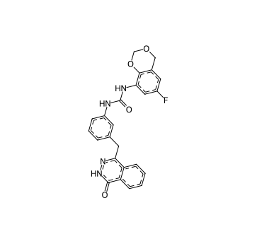 O=C(Nc1cccc(Cc2n[nH]c(=O)c3ccccc23)c1)Nc1cc(F)cc2c1OCOC2